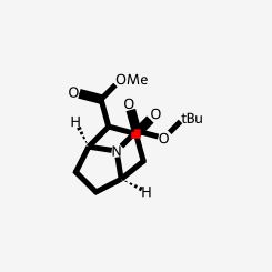 COC(=O)C1C(=O)C[C@H]2CC[C@@H]1N2C(=O)OC(C)(C)C